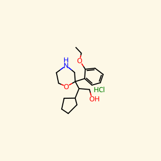 CCOc1ccccc1C1(C(CO)C2CCCC2)CNCCO1.Cl